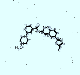 CN1CCN(c2cc(C(=O)Nc3cc4cc(-c5ncc(Cl)s5)ccc4nn3)ccn2)CC1